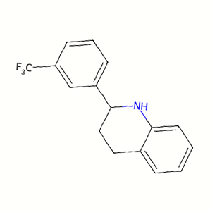 FC(F)(F)c1cccc(C2CCc3ccccc3N2)c1